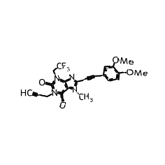 C#CCn1c(=O)c2c(nc(C#Cc3ccc(OC)c(OC)c3)n2C)n(CC(F)(F)F)c1=O